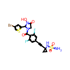 NS(=O)(=O)NC1(C#Cc2cc(F)c(C(=O)N3CC(=O)N(O)C3c3cc(Br)cs3)c(F)c2)CC1